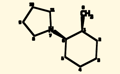 C[C@H]1CCCC[C@H]1N1CCCC1